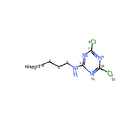 CCCCCCCCCCNc1nc(Cl)nc(Cl)n1